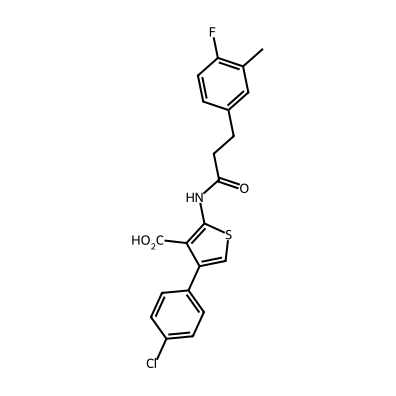 Cc1cc(CCC(=O)Nc2scc(-c3ccc(Cl)cc3)c2C(=O)O)ccc1F